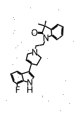 CC1(C)C(=O)N(CCN2CC=C(c3c[nH]c4c(F)cccc34)CC2)c2ccccc21